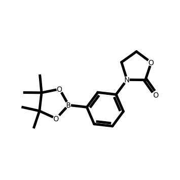 CC1(C)OB(c2cccc(N3CCOC3=O)c2)OC1(C)C